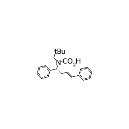 CC(C)(C)CN(C(=O)O)[C@H](CC=Cc1ccccc1)c1ccccc1